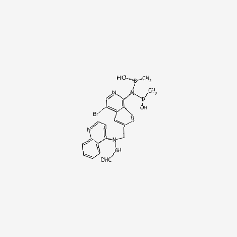 CB(O)N(B(C)O)c1ncc(Br)c2cc(CN(BC=O)c3ccnc4ccccc34)ccc12